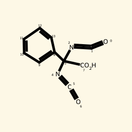 O=C=NC(N=C=O)(C(=O)O)c1ccccc1